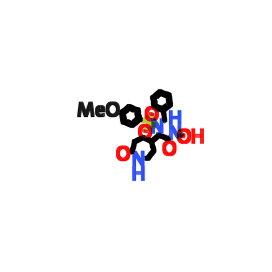 COc1ccc(S(=O)(=O)N(Cc2ccccc2)C(C(=O)NO)C2CCNC(=O)CC2)cc1